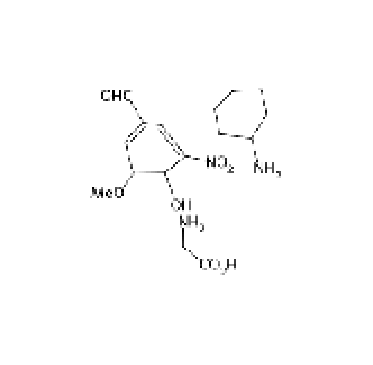 COc1cc(C=O)cc([N+](=O)[O-])c1O.NC1CCCCC1.NCC(=O)O